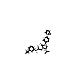 CC(C)[C@H]1CN(c2ccc(-n3cccn3)nc2)C(=O)N1CC(=O)Nc1cccc(C(F)(F)F)c1